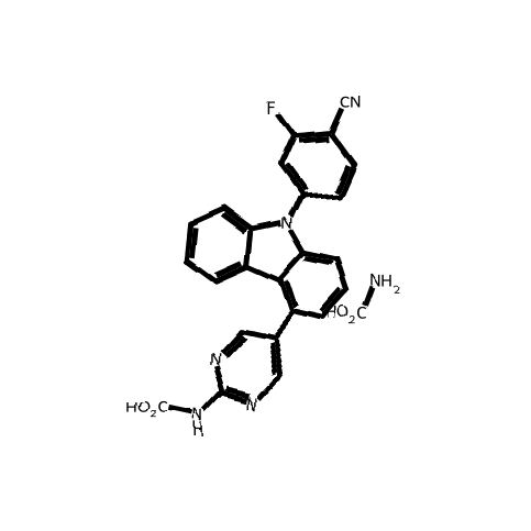 N#Cc1ccc(-n2c3ccccc3c3c(-c4cnc(NC(=O)O)nc4)cccc32)cc1F.NC(=O)O